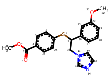 COC(=O)c1ccc(SC(Cn2ccnc2)c2cccc(OC)c2)cc1